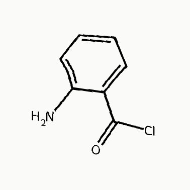 Nc1ccccc1C(=O)Cl